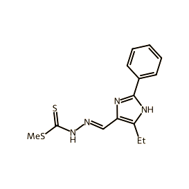 CCc1[nH]c(-c2ccccc2)nc1C=NNC(=S)SC